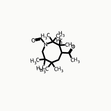 CC(=O)C1CC(C)(C)C(C)(C)CN(C=O)C(C)(C)C1(C)C